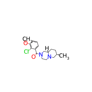 COc1cccc(C(=O)N2CCN3C[C@H](C)CC[C@H]3C2)c1Cl